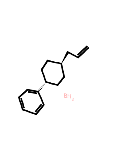 B.C=CC[C@H]1CC[C@H](c2ccccc2)CC1